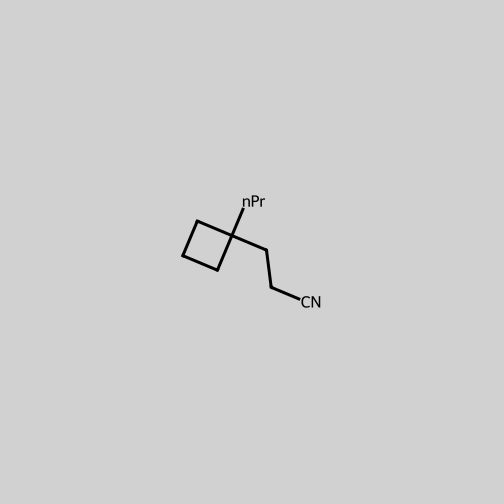 CCCC1(CCC#N)CCC1